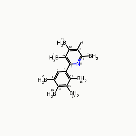 Bc1cc(-c2nc(B)c(C)c(B)c2B)c(B)c(B)c1B